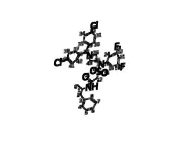 CC(Cc1ccccc1)NC(=O)CS(=O)(=O)N(c1cc(F)cc(F)c1)C1CN(C(c2ccc(Cl)cc2)c2ccc(Cl)cc2)C1